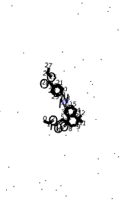 CCOC(=O)CC1(O)CCC(C)(C)c2ccc(/N=N/c3ccc(C(=O)OCC)cc3)cc21